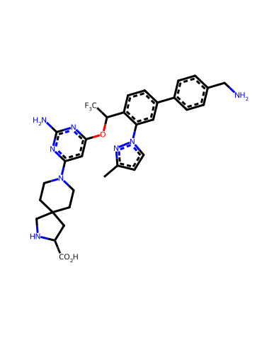 Cc1ccn(-c2cc(-c3ccc(CN)cc3)ccc2C(Oc2cc(N3CCC4(CC3)CNC(C(=O)O)C4)nc(N)n2)C(F)(F)F)n1